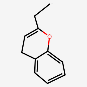 [CH2]CC1=CCc2ccccc2O1